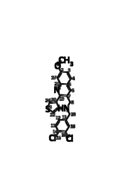 COc1ccc2cc(CNCc3ccc(Cl)c(Cl)c3)c(-c3ccsc3)nc2c1